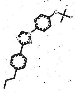 CCCc1ccc(-c2ncn(-c3ccc(OC(F)(F)F)cc3)n2)cc1